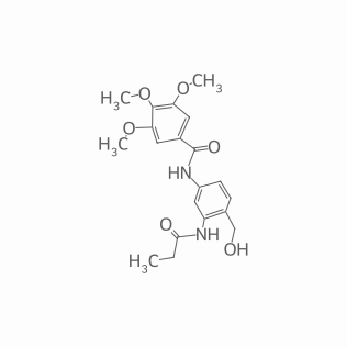 CCC(=O)Nc1cc(NC(=O)c2cc(OC)c(OC)c(OC)c2)ccc1CO